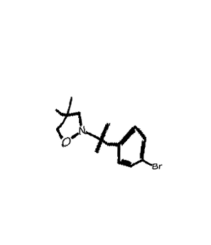 CC1(C)CON(C(C)(C)c2ccc(Br)cc2)C1